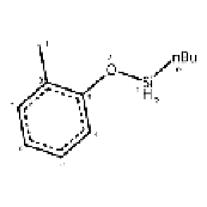 CCCC[SiH2]Oc1ccccc1C